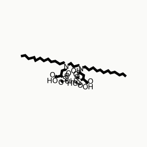 CCCCCCCCCCCCN(CC(O)CN(CCCCCCCCCCCC)C(=O)CC(C(=O)O)S(=O)(=O)O)C(=O)CC(C(=O)O)S(=O)(=O)O